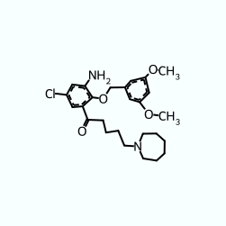 COc1cc(COc2c(N)cc(Cl)cc2C(=O)CCCCN2CCCCCC2)cc(OC)c1